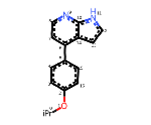 CC(C)Oc1ccc(-c2ccnc3[nH]ccc23)cc1